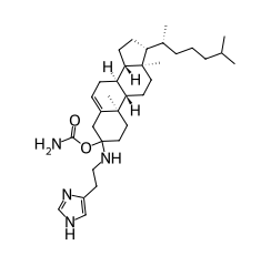 CC(C)CCC[C@@H](C)[C@H]1CC[C@H]2[C@@H]3CC=C4CC(NCCc5c[nH]cn5)(OC(N)=O)CC[C@]4(C)[C@H]3CC[C@]12C